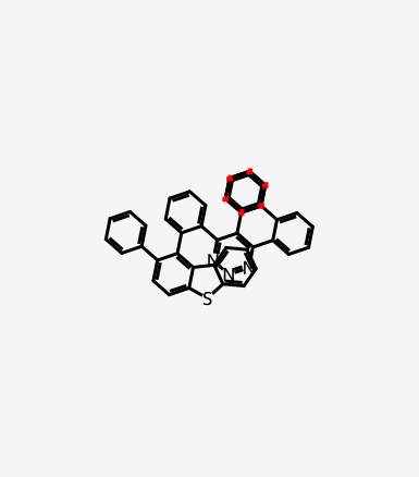 c1ccc(-c2ccccc2-c2nnnc(-c3ccccc3-c3c(-c4ccccc4)ccc4sc5ccccc5c34)c2-c2ccccc2)cc1